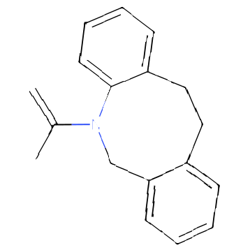 C=C(C)N1Cc2ccccc2CCc2ccccc21